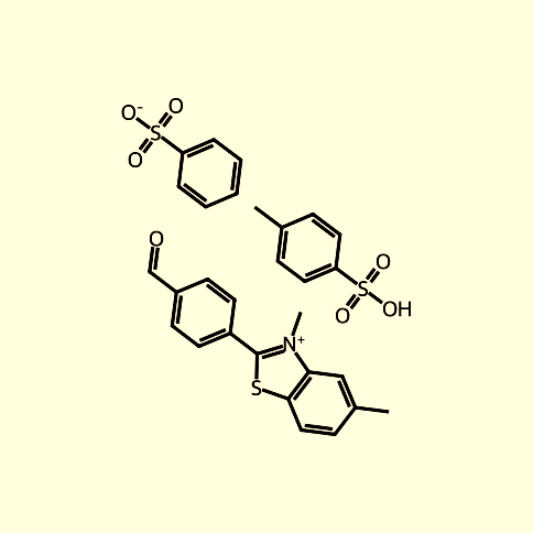 Cc1ccc(S(=O)(=O)O)cc1.Cc1ccc2sc(-c3ccc(C=O)cc3)[n+](C)c2c1.O=S(=O)([O-])c1ccccc1